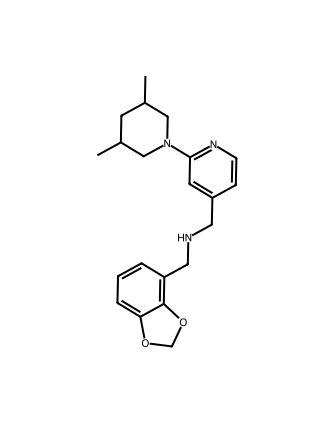 CC1CC(C)CN(c2cc(CNCc3cccc4c3OCO4)ccn2)C1